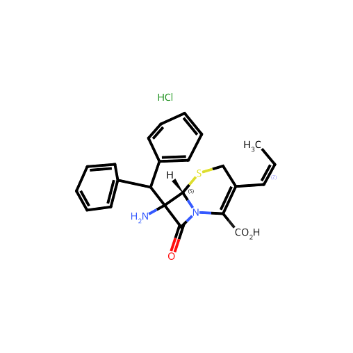 C/C=C\C1=C(C(=O)O)N2C(=O)C(N)(C(c3ccccc3)c3ccccc3)[C@@H]2SC1.Cl